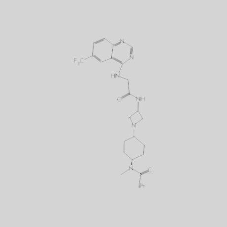 CC(C)C(=O)N(C)[C@H]1CC[C@H](N2CC(NC(=O)CNc3ncnc4ccc(C(F)(F)F)cc34)C2)CC1